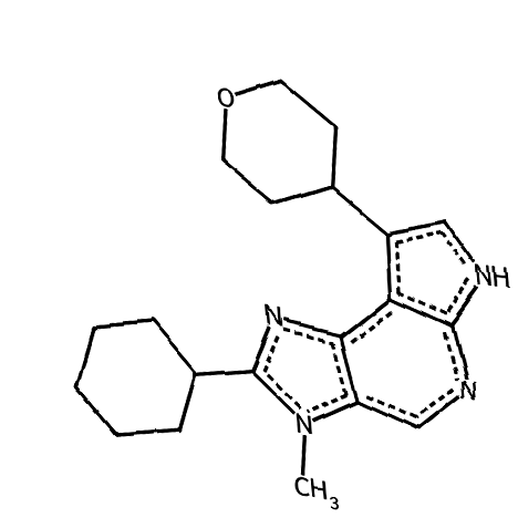 Cn1c(C2CCCCC2)nc2c3c(C4CCOCC4)c[nH]c3ncc21